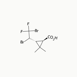 CC1(C)[C@H](C(=O)O)[C@H]1C(Br)C(F)(F)Br